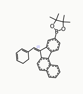 CC1(C)OB(c2ccc3c(c2)/C(=C/C2=CC=CCC2)c2ccc4ccccc4c2-3)OC1(C)C